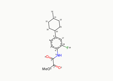 COC(=O)C(=O)Nc1ccc(C2CCC(C)CC2)cc1F